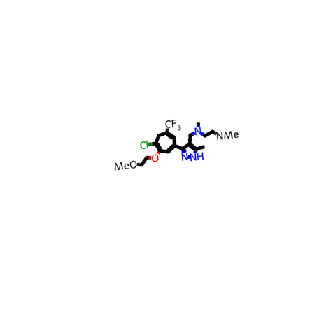 CNCCN(C)Cc1c(C2=CC(OCCOC)=C(Cl)CC(C(F)(F)F)=C2)n[nH]c1C